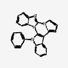 c1ccc(-n2c3ccccc3c3c4cccn4c4nc5ccccc5n4c32)cc1